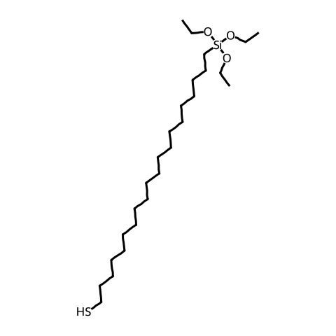 CCO[Si](CCCCCCCCCCCCCCCCCCCCS)(OCC)OCC